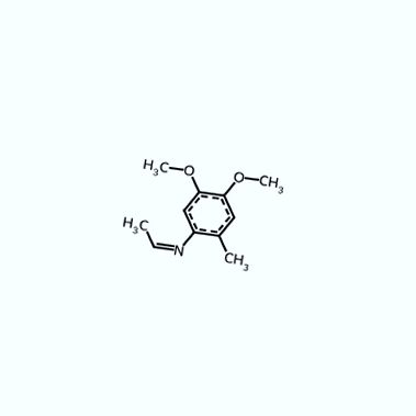 C/C=N\c1cc(OC)c(OC)cc1C